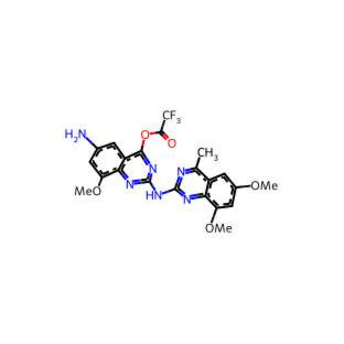 COc1cc(OC)c2nc(Nc3nc(OC(=O)C(F)(F)F)c4cc(N)cc(OC)c4n3)nc(C)c2c1